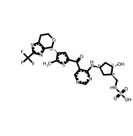 Cc1sc(C(=O)c2cncnc2N[C@H]2C[C@H](O)[C@@H]([CH]NS(=O)(=O)O)C2)cc1[C@H]1OCCc2sc(C(F)(F)F)nc21